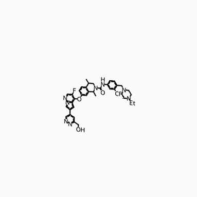 CCN1CCN(Cc2ccc(NC(=O)N3CC(C)c4ccc(Oc5c(F)cnn6cc(-c7cnnc(CO)c7)cc56)cc4C3C)cc2C(F)(F)F)CC1